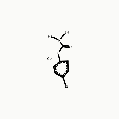 CCc1ccc(OC(=O)N(S)S)cc1.[Cu]